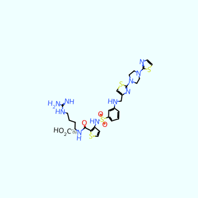 N=C(N)NCCC[C@H](NC(=O)c1sccc1NS(=O)(=O)c1cccc(NCc2csc(N3CCN(c4nccs4)CC3)n2)c1)C(=O)O